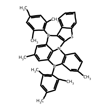 Cc1cc(C)c(B2c3cc(C)ccc3N3c4sc5ccccc5c4B(c4c(C)cc(C)cc4C)c4cc(C)cc2c43)c(C)c1